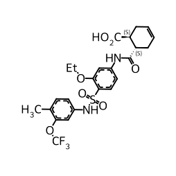 CCOc1cc(NC(=O)[C@H]2CC=CC[C@@H]2C(=O)O)ccc1S(=O)(=O)Nc1ccc(C)c(OC(F)(F)F)c1